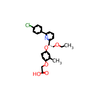 CCOC[C@H](Oc1ccc(OCC(=O)O)c(C)c1)c1cccc(-c2ccc(Cl)cc2)n1